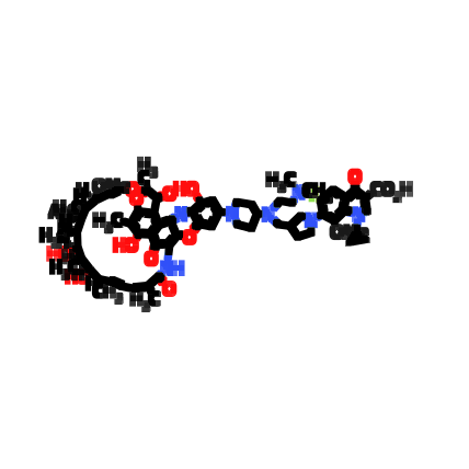 COc1c(N2CCC(CN(CCN(C)C)C3CCN(c4cc(O)c5nc6c7c8c9c(C)c(O)c7c(=O)c(c-6oc5c4)NC(=O)/C(C)=C\C=C\[C@H](C)[C@H](O)[C@@H](C)[C@@H](O)[C@@H](C)[C@H](OC(C)=O)[C@H](C)[C@@H](OC)/C=C/O[C@@](C)(O9)C8=O)CC3)C2)c(F)cc2c(=O)c(C(=O)O)cn(C3CC3)c12